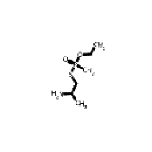 CCOP(C)(=O)SCC(C)N